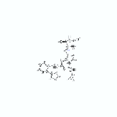 O=C1NC(=O)/C(=C/c2cnn3c(NC4CC4)nc(NCc4ccccc4N4CCCC4)nc23)N1